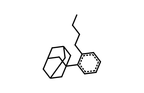 CCC[CH]c1ccccc1C12CC3CC(CC(C3)C1)C2